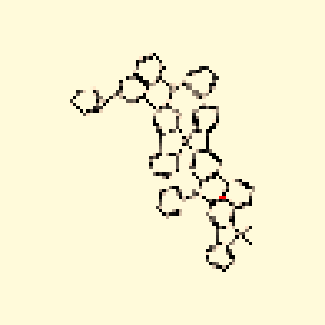 CC1(C)c2ccccc2-c2cc(N(c3ccccc3)c3cc4c(cc3-c3ccccc3)-c3ccccc3C43c4ccccc4-c4cc(-c5cccc(C6CC7CCC6C7)c5)c(N(c5ccccc5)c5ccccc5)cc43)ccc21